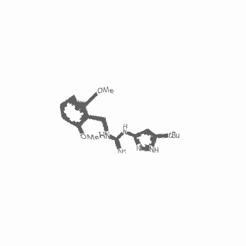 COc1cccc(OC)c1CNC(=N)Nc1cc(C(C)(C)C)[nH]n1